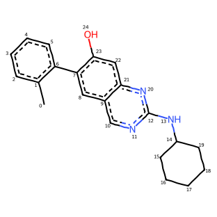 Cc1ccccc1-c1cc2cnc(NC3CCCCC3)nc2cc1O